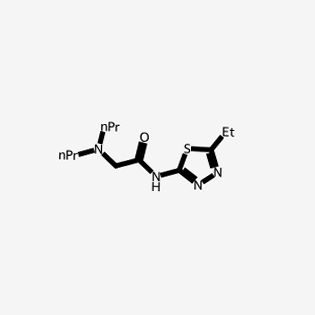 CCCN(CCC)CC(=O)Nc1nnc(CC)s1